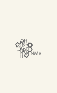 CN[C@@H](Cc1ccccc1)C(=O)N1CCC[C@H]1C(=O)N[C@@H](C)C(=O)N1CCC[C@H]1B(O)O